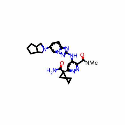 CNC(=O)c1nnc([C@]2(C(N)=O)CC23CC3)cc1Nc1nc2ccc(N3CC4CCCC4C3)cn2n1